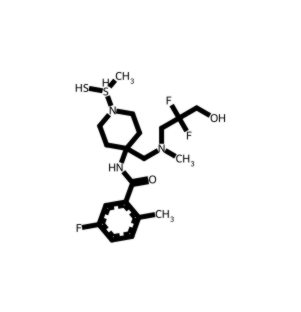 Cc1ccc(F)cc1C(=O)NC1(CN(C)CC(F)(F)CO)CCN([SH](C)S)CC1